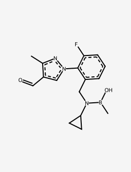 CB(O)N(Cc1cccc(F)c1-n1cc(C=O)c(C)n1)C1CC1